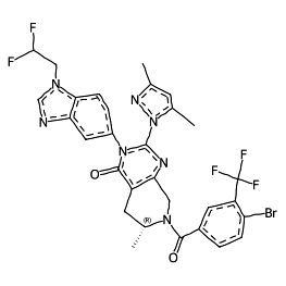 Cc1cc(C)n(-c2nc3c(c(=O)n2-c2ccc4c(c2)ncn4CC(F)F)C[C@@H](C)N(C(=O)c2ccc(Br)c(C(F)(F)F)c2)C3)n1